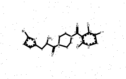 NC(Cc1ccc(Br)s1)C(=O)N1CCN(C(=O)c2c(Cl)ncc(F)c2Cl)CC1